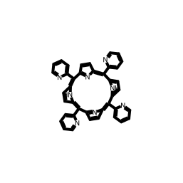 C1=Cc2nc1c(-c1ccccn1)c1ccc([nH]1)c(-c1ccccn1)c1nc(c(-c3ccccn3)c3ccc([nH]3)c2-c2ccccn2)C=C1